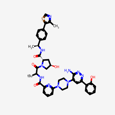 Cc1ncsc1-c1ccc([C@H](C)NC(=O)[C@@H]2C[C@@H](O)CN2C(=O)C(NC(=O)c2cccc(N3CCN(c4cc(-c5ccccc5O)nnc4N)CC3)n2)C(C)(C)C)cc1